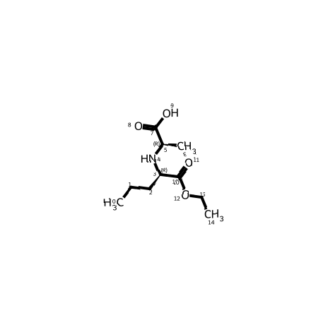 CCC[C@@H](N[C@H](C)C(=O)O)C(=O)OCC